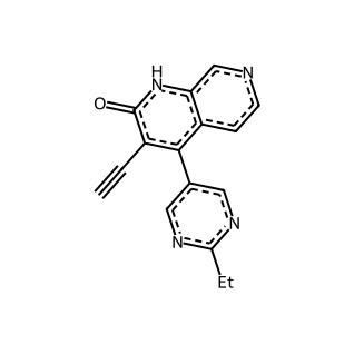 C#Cc1c(-c2cnc(CC)nc2)c2ccncc2[nH]c1=O